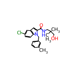 Cc1cccc(Cn2c(C(=O)NCC(C)(C)CO)cc3cc(Cl)ccc32)c1